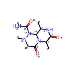 CC1NC(=O)C(C)N2C(=O)CN(C)N(C(N)=O)C12